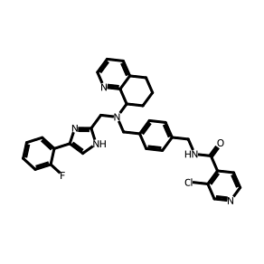 O=C(NCc1ccc(CN(Cc2nc(-c3ccccc3F)c[nH]2)C2CCCc3cccnc32)cc1)c1ccncc1Cl